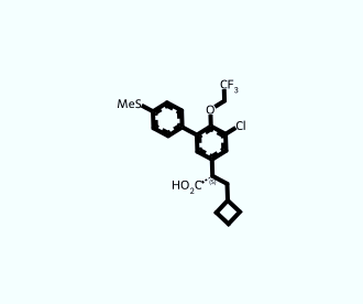 CSc1ccc(-c2cc([C@H](CC3CCC3)C(=O)O)cc(Cl)c2OCC(F)(F)F)cc1